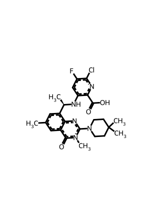 Cc1cc([C@@H](C)Nc2cc(F)c(Cl)nc2C(=O)O)c2nc(N3CCC(C)(C)CC3)n(C)c(=O)c2c1